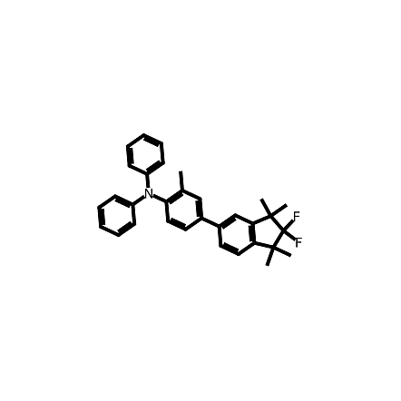 Cc1cc(-c2ccc3c(c2)C(C)(C)C(F)(F)C3(C)C)ccc1N(c1ccccc1)c1ccccc1